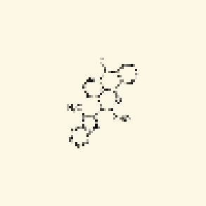 Cn1c(C(=CC=O)c2cccc3c2C(=O)c2ccccc2C3=O)nc2ccccc21